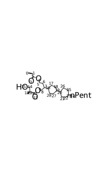 C=CC(=O)OCCC(COC(=O)C(=C)CO)C1CCC(C2CCC(CCCCC)CC2)CC1